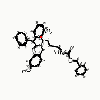 NC(=O)[C@@H](CCCNC(=O)OCc1ccccc1)N(Cc1ccc(O)cc1)C(=O)C(c1ccccc1)c1ccccc1